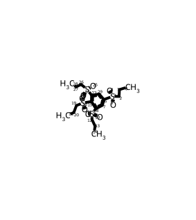 CCCS(=O)(=O)c1cc(S(=O)(=O)CCC)c(S(=O)(=O)CCC)c(S(=O)(=O)CCC)c1